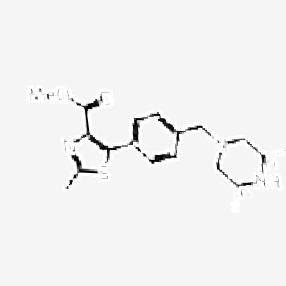 COC(=O)c1nc(C)sc1-c1ccc(CN2C[C@@H](C)N[C@@H](C)C2)cc1